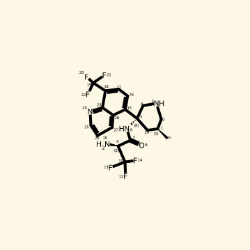 C[C@@H]1CNC[C@](NC(=O)[C@H](N)C(F)(F)F)(c2ccc(C(F)(F)F)c3ncccc23)C1